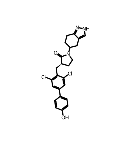 O=C1[C@H](Cc2c(Cl)cc(-c3ccc(O)cc3)cc2Cl)CCN1C1CCc2n[nH]cc2C1